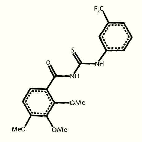 COc1ccc(C(=O)NC(=S)Nc2cccc(C(F)(F)F)c2)c(OC)c1OC